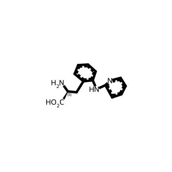 N[C@@H](Cc1ccccc1Nc1ccccn1)C(=O)O